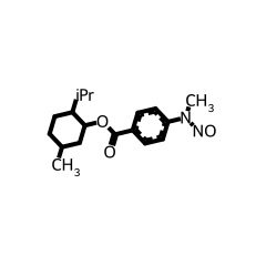 CC1CCC(C(C)C)C(OC(=O)c2ccc(N(C)N=O)cc2)C1